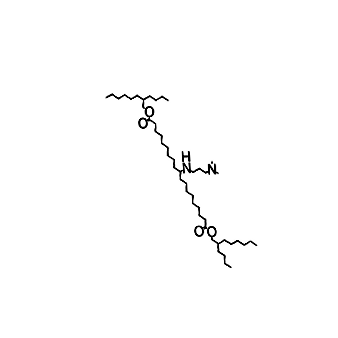 CCCCCCC(CCCC)COC(=O)CCCCCCCCC(CCCCCCCCC(=O)OCC(CCCC)CCCCCC)NCCCN(C)C